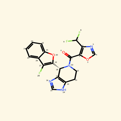 O=C(c1ocnc1C(F)F)N1CCc2[nH]cnc2[C@@H]1c1oc2ccccc2c1F